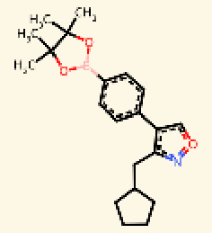 CC1(C)OB(c2ccc(-c3conc3C[C]3CCCC3)cc2)OC1(C)C